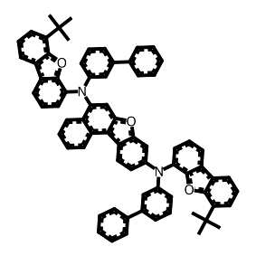 CC(C)(C)c1cccc2c1oc1c(N(c3cccc(-c4ccccc4)c3)c3ccc4c(c3)oc3cc(N(c5cccc(-c6ccccc6)c5)c5cccc6c5oc5c(C(C)(C)C)cccc56)c5ccccc5c34)cccc12